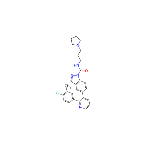 Cc1cc(-c2ncccc2-c2ccc3c(cnn3C(=O)NCCCN3CCCC3)c2)ccc1F